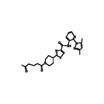 CC(=O)CCCC(=O)N1CCC(c2nc(C(=O)Nc3cccnc3-n3nc(C)cc3C)cs2)CC1